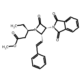 CC[C@H](CC(=O)OC)N1C(=O)[C@H](N2C(=O)c3ccccc3C2=O)[C@@H]1C=Cc1ccccc1